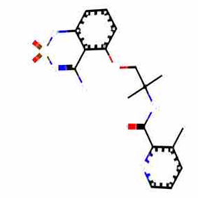 Cc1cccnc1C(=O)NC(C)(C)COc1cccc2c1C(N)=NS(=O)(=O)N2